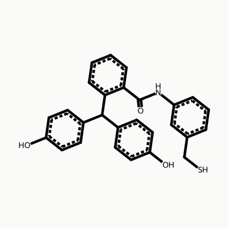 O=C(Nc1cccc(CS)c1)c1ccccc1C(c1ccc(O)cc1)c1ccc(O)cc1